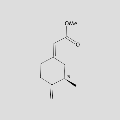 C=C1CCC(=CC(=O)OC)C[C@H]1C